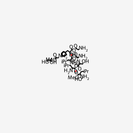 CC(C)C[C@H](N)C(=O)OC(=O)CN.CC(C)C[C@H](N)C(=O)OC(=O)[C@@H](N)CO.CC(O)CO.CO.COC(=O)CN.COC(=O)[C@@H](N)CC(C)C.NCC(=O)OC(=O)[C@@H](N)Cc1ccccc1